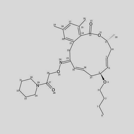 CCCCO[C@@H]1/C=C/C[C@@H](C)OC(=O)c2c(C)cc(C)cc2CC(=N/OCC(=O)N2CCCCC2)/C=C/C1